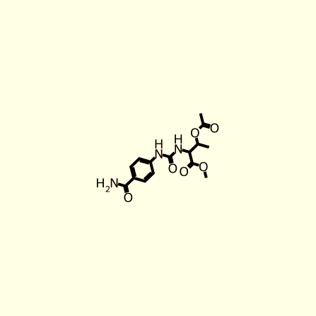 COC(=O)C(NC(=O)Nc1ccc(C(N)=O)cc1)C(C)OC(C)=O